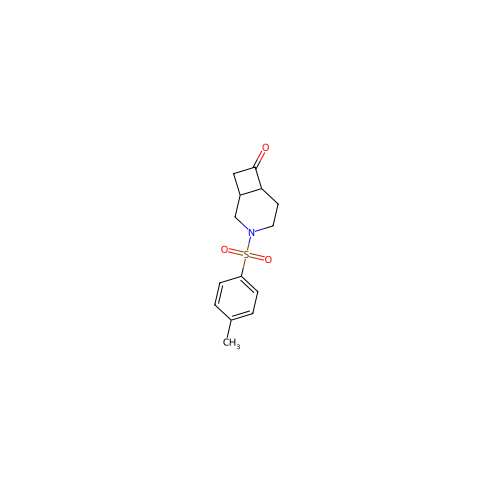 Cc1ccc(S(=O)(=O)N2CCC3C(=O)CC3C2)cc1